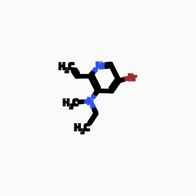 C=Cc1ncc(Br)cc1N(C)CC